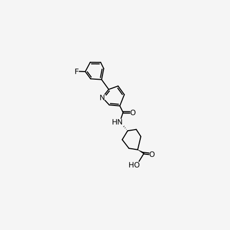 O=C(N[C@H]1CC[C@H](C(=O)O)CC1)c1ccc(-c2cccc(F)c2)nc1